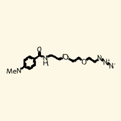 CNc1ccc(C(=O)NCCOCCOCCN=[N+]=[N-])cc1